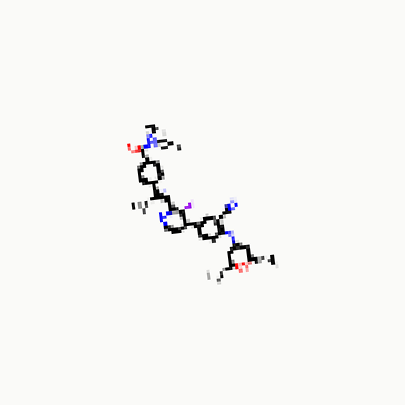 C/C(=C\c1nccc(-c2ccc(NC3CC(C)OC(C)C3)c(C#N)c2)c1I)c1ccc(C(=O)N(C)C)cc1